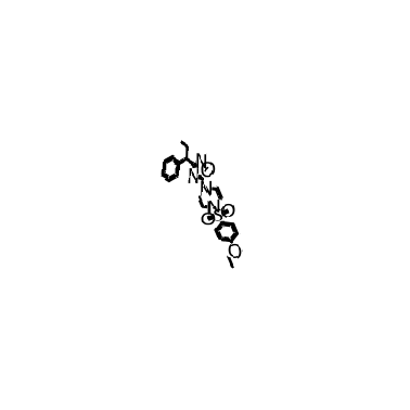 CCOc1ccc(S(=O)(=O)N2CCN(c3nc(C(CC)c4ccccc4)no3)CC2)cc1